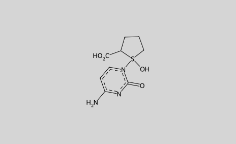 Nc1ccn(S2(O)CCCC2C(=O)O)c(=O)n1